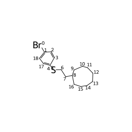 Brc1ccc(SCCC2CCCCCCCC2)cc1